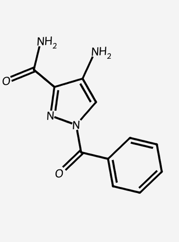 NC(=O)c1nn(C(=O)c2ccccc2)cc1N